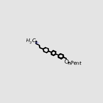 C/C=C/CCC1CCC(c2ccc(-c3ccc(COCCCCC)cc3)cc2)CC1